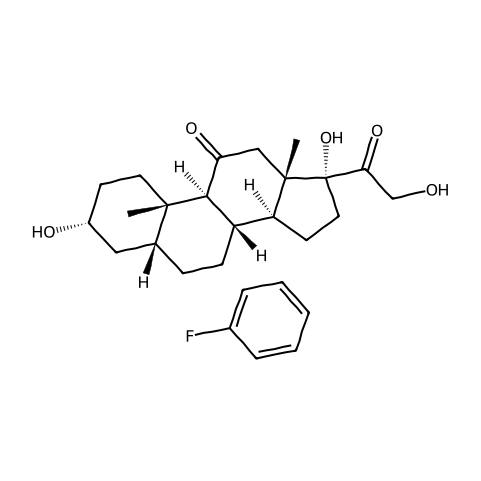 C[C@]12CC[C@@H](O)C[C@H]1CC[C@@H]1[C@@H]2C(=O)C[C@@]2(C)[C@H]1CC[C@]2(O)C(=O)CO.Fc1ccccc1